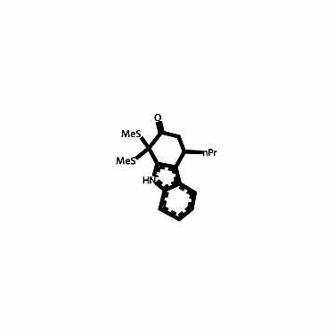 CCCC1CC(=O)C(SC)(SC)c2[nH]c3ccccc3c21